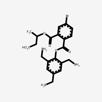 BCc1cc(CB)c(OC(=O)c2ccc(Br)cc2C(=O)OC(CS(=O)(=O)O)C(F)(F)F)c(CB)c1